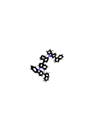 c1ccc2c(-c3ccc4c5ccccc5n(-c5ccc(-c6ccc(-n7c8ccccc8c8ccc(-c9cccc%10ccccc9%10)cc87)c7ccccc67)c6ccccc56)c4c3)cccc2c1